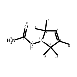 CC1=CC(C)(C)N(NC(N)=O)C1(C)C